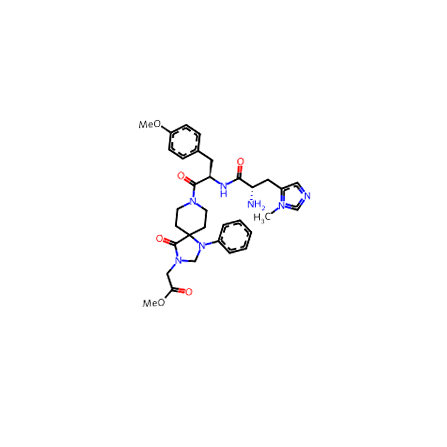 COC(=O)CN1CN(c2ccccc2)C2(CCN(C(=O)[C@@H](Cc3ccc(OC)cc3)NC(=O)[C@@H](N)Cc3cncn3C)CC2)C1=O